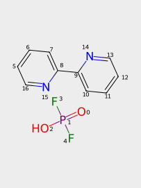 O=P(O)(F)F.c1ccc(-c2ccccn2)nc1